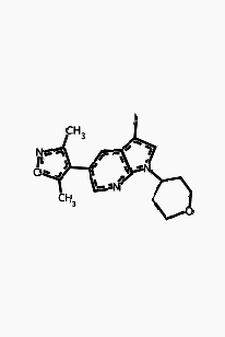 Cc1noc(C)c1-c1cnc2c(c1)c(I)cn2C1CCOCC1